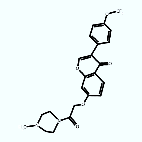 CN1CCN(C(=O)COc2ccc3c(=O)c(-c4ccc(OC(F)(F)F)cc4)coc3c2)CC1